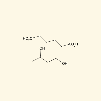 CC(O)CCO.O=C(O)CCCCC(=O)O